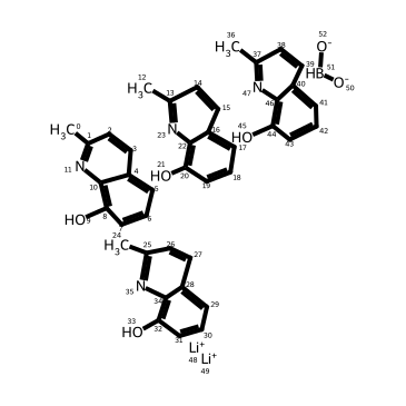 Cc1ccc2cccc(O)c2n1.Cc1ccc2cccc(O)c2n1.Cc1ccc2cccc(O)c2n1.Cc1ccc2cccc(O)c2n1.[Li+].[Li+].[O-]B[O-]